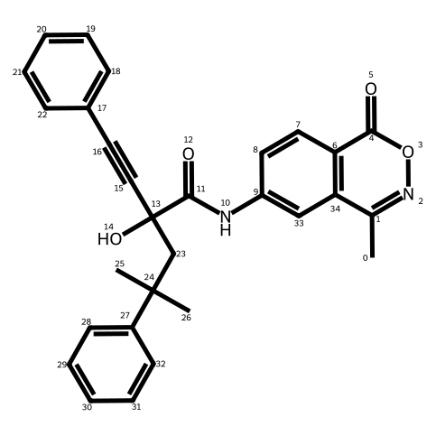 Cc1noc(=O)c2ccc(NC(=O)C(O)(C#Cc3ccccc3)CC(C)(C)c3ccccc3)cc12